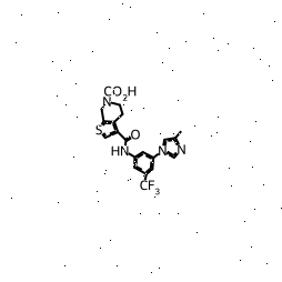 Cc1cn(-c2cc(NC(=O)c3csc4c3CCN(C(=O)O)C4)cc(C(F)(F)F)c2)cn1